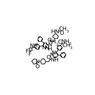 CC(=O)NC1CCC(CC(=O)Nc2cc(-c3ccccc3)c(-c3ccc(C4(N)CC(F)(F)C4)cc3)nn2)CC1.CC(C)(N)c1ccc(-c2nnc(NC(=O)CC3CCC(N4CCCCC4=O)CC3)cc2-c2ccccc2)cc1